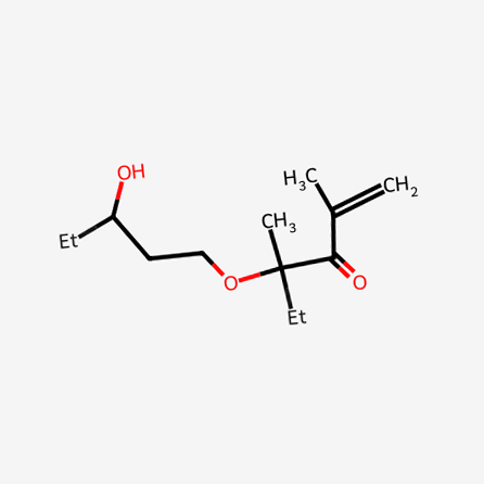 C=C(C)C(=O)C(C)(CC)OCCC(O)CC